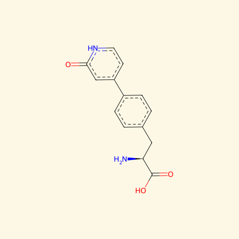 N[C@@H](Cc1ccc(-c2cc[nH]c(=O)c2)cc1)C(=O)O